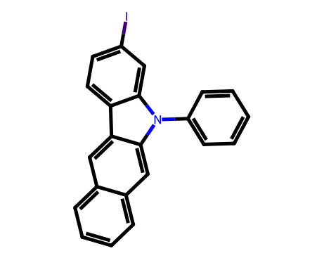 Ic1ccc2c3cc4ccccc4cc3n(-c3ccccc3)c2c1